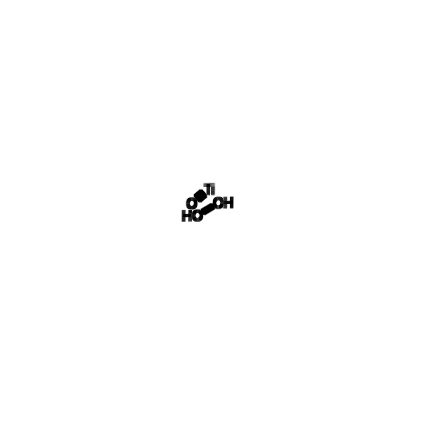 OO.[O]=[Ti]